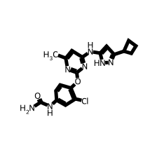 Cc1cc(Nc2cc(C3CCC3)n[nH]2)nc(Oc2ccc(NC(N)=O)cc2Cl)n1